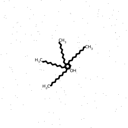 CCCCCCCCCCc1[c]c(O)c(CCCCCCCCCC)c(CCCCCCCCCC)c1CCCCCCCCCC